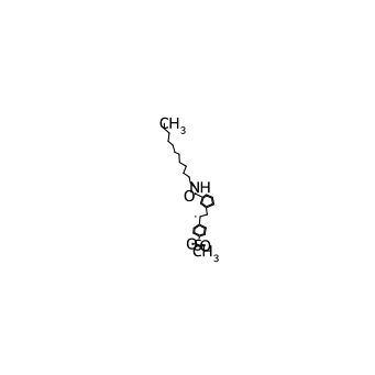 CCCCCCCCCCCCNC(=O)c1cccc(C[CH]c2ccc(S(C)(=O)=O)cc2)c1